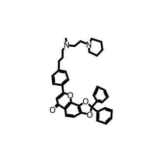 CN(CCCc1ccc(-c2cc(=O)c3ccc4c(c3o2)OC(c2ccccc2)(c2ccccc2)O4)cc1)CCN1CCCCC1